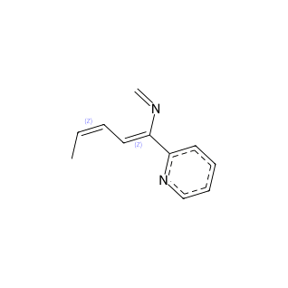 C=N/C(=C\C=C/C)c1ccccn1